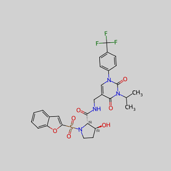 CC(C)n1c(=O)c(CNC(=O)[C@@H]2[C@@H](O)CCN2S(=O)(=O)c2cc3ccccc3o2)cn(-c2ccc(C(F)(F)F)cc2)c1=O